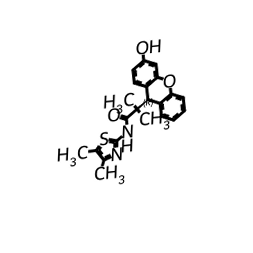 Cc1nc(NC(=O)C(C)(C)[C@@H]2c3ccccc3Oc3cc(O)ccc32)sc1C